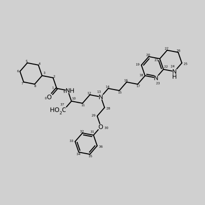 O=C(CC1CCCCC1)NC(CCN(CCCCc1ccc2c(n1)NCCC2)CCOc1ccccc1)C(=O)O